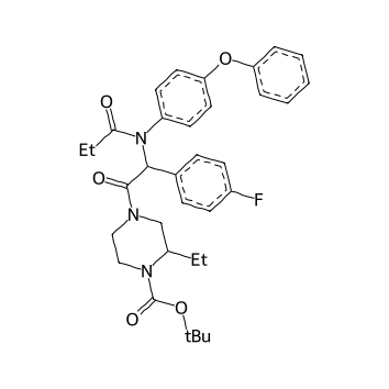 CCC(=O)N(c1ccc(Oc2ccccc2)cc1)C(C(=O)N1CCN(C(=O)OC(C)(C)C)C(CC)C1)c1ccc(F)cc1